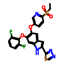 CCS(=O)(=O)c1ccc(Oc2cc3cc(-c4nncs4)[nH]c3cc2Oc2c(F)cccc2F)cn1